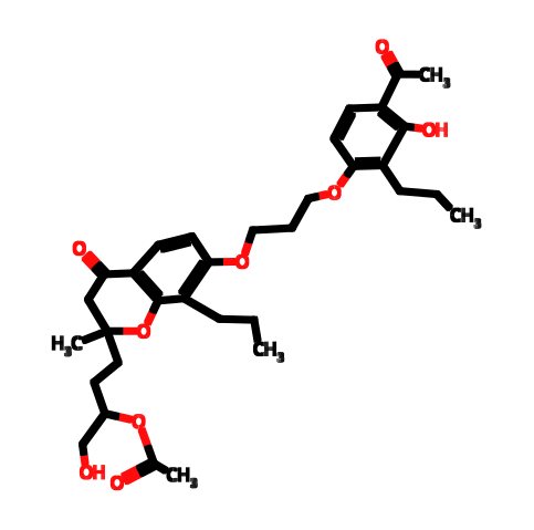 CCCc1c(OCCCOc2ccc3c(c2CCC)OC(C)(CCC(CO)OC(C)=O)CC3=O)ccc(C(C)=O)c1O